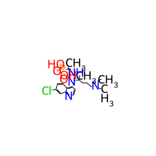 CCN(CC)CCCC(C)N(C(=O)NC(C)P(=O)(O)O)c1ccnc2cc(Cl)ccc12